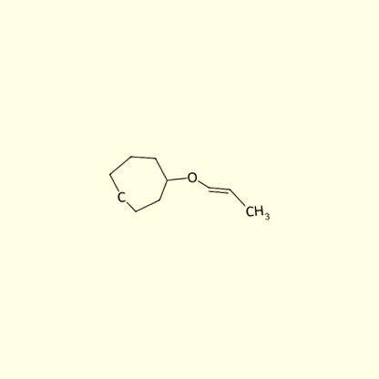 CC=COC1CCCCCC1